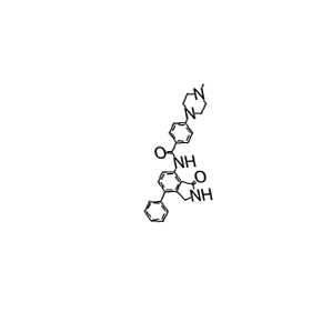 CN1CCN(c2ccc(C(=O)Nc3ccc(-c4ccccc4)c4c3C(=O)NC4)cc2)CC1